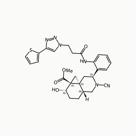 COC(=O)[C@@]12C[C@@]13C[C@@H](c1ccccc1NC(=O)CCn1cc(-c4cccs4)nn1)N(C#N)C[C@@H]3CC[C@@H]2O